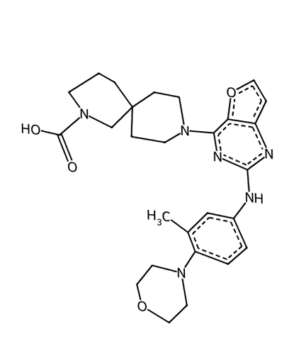 Cc1cc(Nc2nc(N3CCC4(CCCN(C(=O)O)C4)CC3)c3occc3n2)ccc1N1CCOCC1